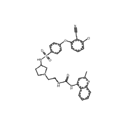 Cc1cc(NC(=O)NCCN2CCC(NS(=O)(=O)c3ccc(Oc4cccc(Cl)c4C#N)cc3)C2)c2ccccc2n1